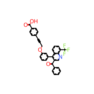 O=C(O)c1ccc(C#CCOc2cccc(-c3c(C(=O)c4ccccc4)cnc4c(C(F)(F)F)cccc34)c2)cc1